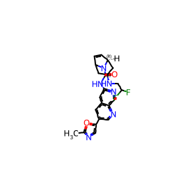 Cc1ncc(-c2cnc3cnc(NC(=O)N4C5C=C[C@H]4C[C@@H](NCC(F)F)C5)cc3c2)o1